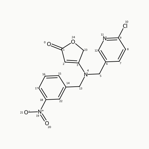 O=C1C=C(N(Cc2ccc(Cl)nc2)Cc2cccc([N+](=O)[O-])c2)CO1